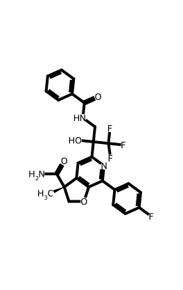 C[C@]1(C(N)=O)COc2c1cc(C(O)(CNC(=O)c1ccccc1)C(F)(F)F)nc2-c1ccc(F)cc1